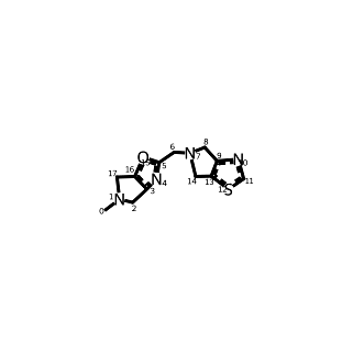 CN1Cc2nc(CN3Cc4ncsc4C3)oc2C1